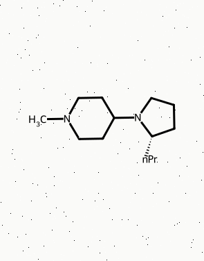 CCC[C@H]1CCCN1C1CCN(C)CC1